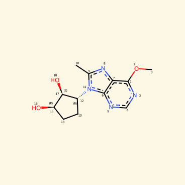 COc1ncnc2c1nc(C)n2[C@@H]1CC[C@@H](O)[C@H]1O